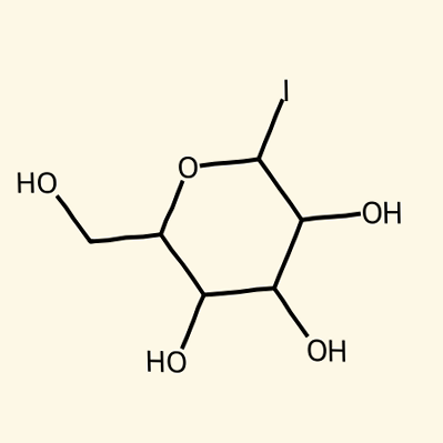 OCC1OC(I)C(O)C(O)C1O